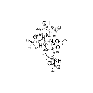 CCOP1(=O)N=C([N+]2(CCC(C)(C)C)N=C(C=C(C)C)C(O)=CC2=O)Nc2ccc(NS(C)(=O)=O)cc21